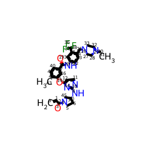 C=CC(=O)N1CC[C@@H](Nc2nccc(Oc3cc(C(=O)Nc4ccc(CN5CCN(CC)CC5)c(C(F)(F)F)c4)ccc3C)n2)C1